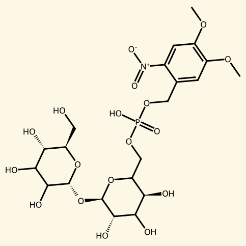 COc1cc(COP(=O)(O)OCC2O[C@H](O[C@H]3O[C@H](CO)[C@@H](O)C(O)C3O)[C@@H](O)C(O)[C@@H]2O)c([N+](=O)[O-])cc1OC